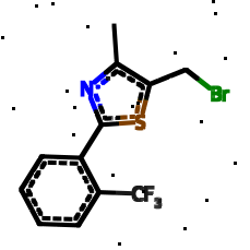 Cc1nc(-c2ccccc2C(F)(F)F)sc1CBr